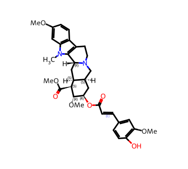 COC(=O)[C@H]1[C@H]2C[C@@H]3c4c(c5ccc(OC)cc5n4C)CCN3C[C@H]2C[C@@H](OC(=O)/C=C/c2ccc(O)c(OC)c2)[C@@H]1OC